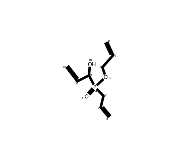 C=CCOP(=O)(CC=C)C(O)C=C